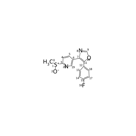 C[S+]([O-])c1ccc(-c2ncoc2-c2ccc(F)cc2)cn1